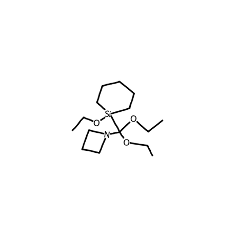 CCOC(OCC)(N1CCC1)[Si]1(OCC)CCCCC1